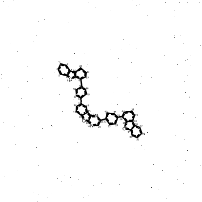 c1ccc2c(c1)oc1c(-c3ccc(-c4ccc5oc6ncc(-c7ccc(-c8cccc9c8oc8ccccc89)cc7)nc6c5c4)cc3)cccc12